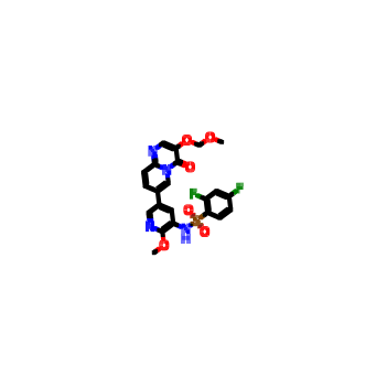 COCOc1cnc2ccc(-c3cnc(OC)c(NS(=O)(=O)c4ccc(F)cc4F)c3)cn2c1=O